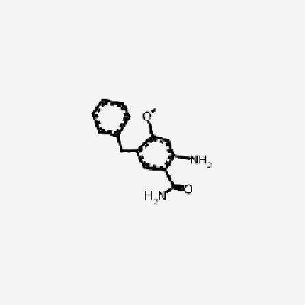 COc1cc(N)c(C(N)=O)cc1Cc1ccccc1